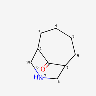 O=C1C2CCCCC1CNC2